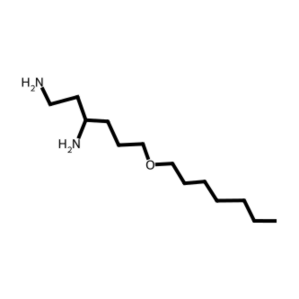 CCCCCCCOCCCC(N)CCN